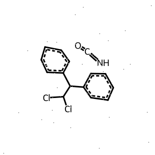 ClC(Cl)C(c1ccccc1)c1ccccc1.N=C=O